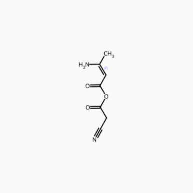 C/C(N)=C/C(=O)OC(=O)CC#N